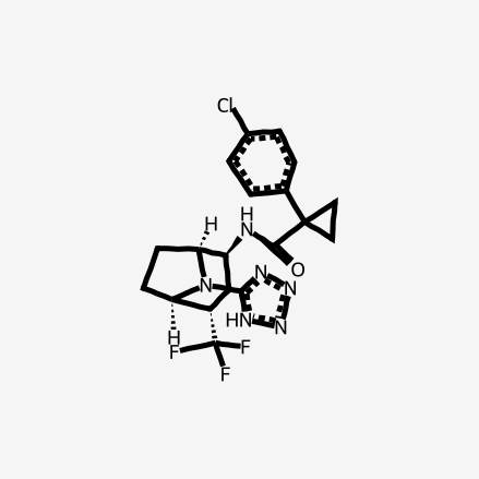 O=C(N[C@H]1C[C@H](C(F)(F)F)[C@H]2CC[C@@H]1N2c1nnn[nH]1)C1(c2ccc(Cl)cc2)CC1